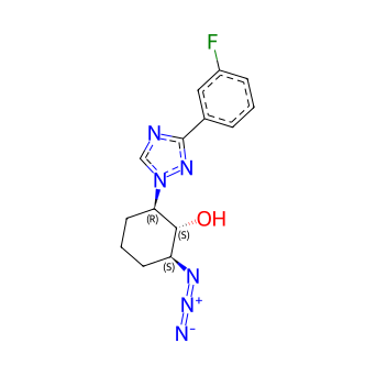 [N-]=[N+]=N[C@H]1CCC[C@@H](n2cnc(-c3cccc(F)c3)n2)[C@@H]1O